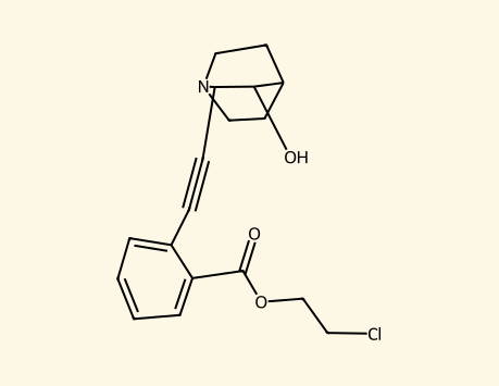 O=C(OCCCl)c1ccccc1C#CC1C(O)C2CCN1CC2